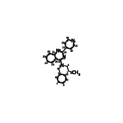 CCCN(Cc1ccccc1)c1nc(-c2ccncc2)nc2ccccc12